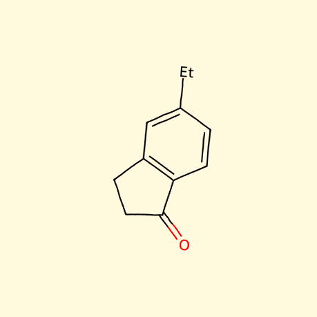 [CH2]Cc1ccc2c(c1)CCC2=O